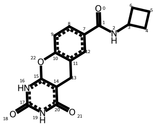 O=C(NC1CCC1)c1ccc2c(c1)Cc1c([nH]c(=O)[nH]c1=O)O2